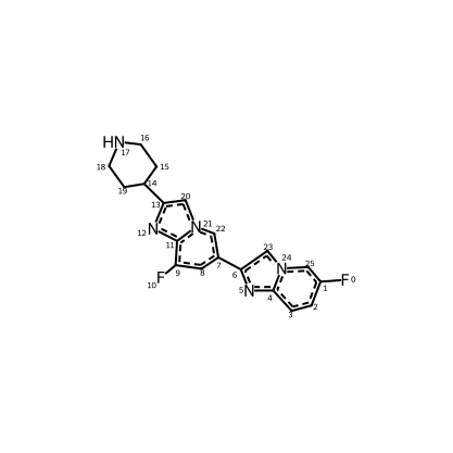 Fc1ccc2nc(-c3cc(F)c4nc(C5CCNCC5)cn4c3)cn2c1